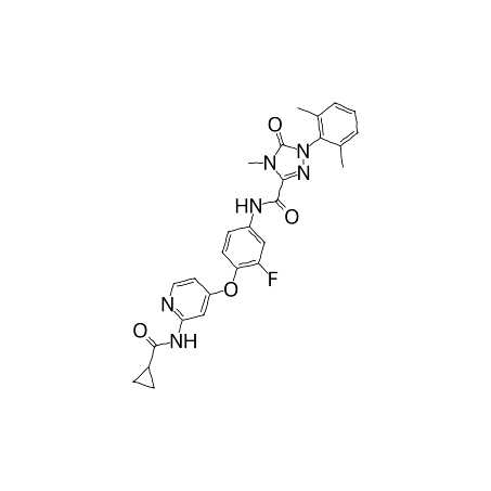 Cc1cccc(C)c1-n1nc(C(=O)Nc2ccc(Oc3ccnc(NC(=O)C4CC4)c3)c(F)c2)n(C)c1=O